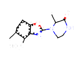 Cc1ccc2oc(N3CCNC(=O)C3C)nc2c1C(=O)O